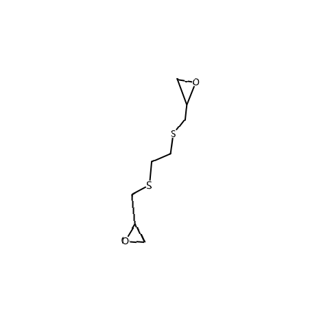 C(CSCC1CO1)SCC1CO1